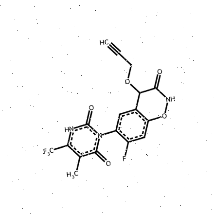 C#CCOC1C(=O)NOc2cc(F)c(-n3c(=O)[nH]c(C(F)(F)F)c(C)c3=O)cc21